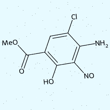 COC(=O)c1cc(Cl)c(N)c(N=O)c1O